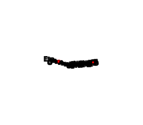 CCC(=O)OCCCCCCCCCCOc1ccc(N=Nc2ccc(N=Nc3ccc(N4CCOC4)cc3)cc2)cc1